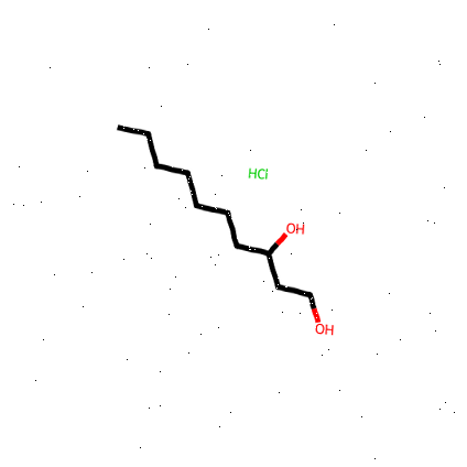 CCCCCCCC(O)CCO.Cl